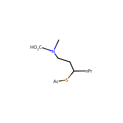 CCCC(CCN(C)C(=O)O)SC(C)=O